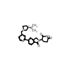 CN(C)[C@@H]1CCN(Cc2ccnc(-c3ccc4c(c3)CN(C3CCC(=O)NC3=O)C4=O)c2)C1